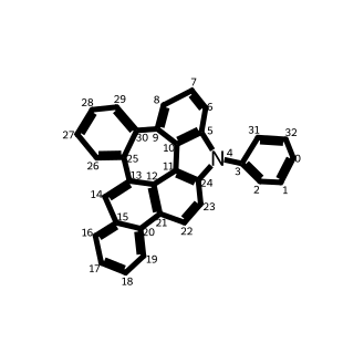 c1ccc(-n2c3cccc4c3c3c5c(cc6ccccc6c5ccc32)-c2ccccc2-4)cc1